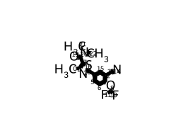 Cc1nc(-c2ccc(OC(F)F)c(C#N)c2)sc1C(=O)N(C)C